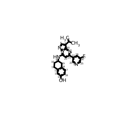 CC(C)c1cnn2c(NC3CCc4cc(O)ccc4C3)cc(-c3cncc(F)c3)nc12